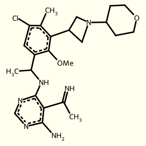 COc1c(C(C)Nc2ncnc(N)c2C(C)=N)cc(Cl)c(C)c1C1CN(C2CCOCC2)C1